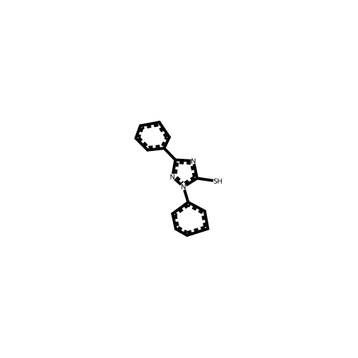 Sc1nc(-c2ccccc2)nn1-c1ccccc1